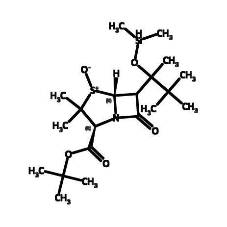 C[SiH](C)OC(C)(C1C(=O)N2[C@@H]1[S+]([O-])C(C)(C)[C@@H]2C(=O)OC(C)(C)C)C(C)(C)C